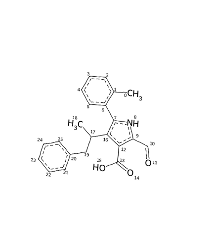 Cc1ccccc1-c1[nH]c(C=O)c(C(=O)O)c1C(C)Cc1ccccc1